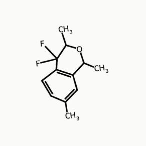 Cc1ccc2c(c1)C(C)OC(C)C2(F)F